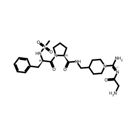 CS(=O)(=O)N[C@H](Cc1ccccc1)C(=O)N1CCC[C@H]1C(=O)NCC1CCN(/C(N)=N\C(=O)CN)CC1